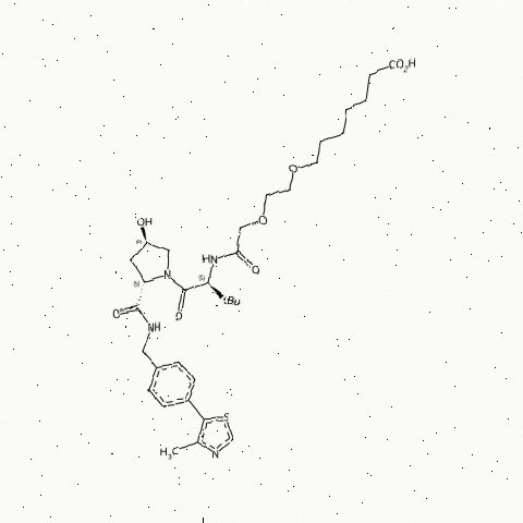 Cc1ncsc1-c1ccc(CNC(=O)[C@@H]2C[C@@H](O)CN2C(=O)[C@@H](NC(=O)COCCOCCCCCCC(=O)O)C(C)(C)C)cc1